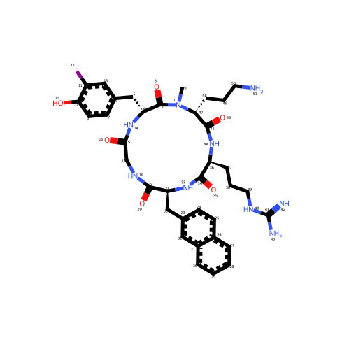 CN1C(=O)[C@@H](Cc2ccc(O)c(I)c2)NC(=O)CNC(=O)[C@H](Cc2ccc3ccccc3c2)NC(=O)[C@H](CCCNC(=N)N)NC(=O)[C@H]1CCCN